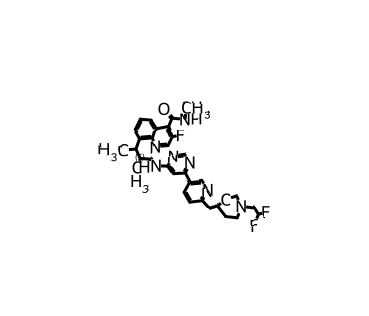 CNC(=O)c1c(F)cnc2c(C(C)[C@H](C)CNc3cc(-c4ccc(CC5CCN(CC(F)F)CC5)nc4)ncn3)cccc12